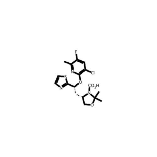 Cc1nc(O[C@H](C[C@H]2COC(C)(C)N2C(=O)O)c2nccs2)c(Cl)cc1F